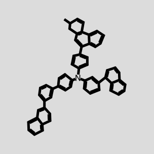 CC1C=Cc2c(cc(-c3ccc(N(c4ccc(-c5cccc(-c6ccc7ccccc7c6)c5)cc4)c4cccc(-c5cccc6ccccc56)c4)cc3)c3ccccc23)C1